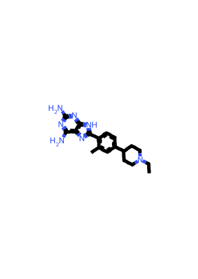 CCN1CCC(c2ccc(-c3nc4c(N)nc(N)nc4[nH]3)c(C)c2)CC1